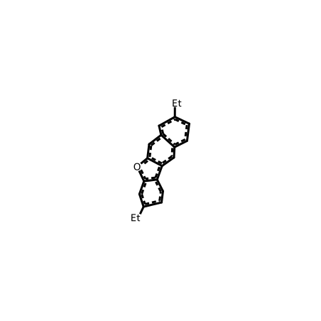 CCc1ccc2cc3c(cc2c1)oc1cc(CC)ccc13